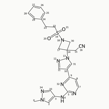 Cn1cc(Nc2nccc(-c3cnn(C4(CC#N)CN(S(=O)(=O)CCc5ccccc5)C4)c3)n2)cn1